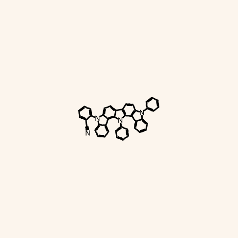 N#Cc1ccccc1-n1c2ccccc2c2c1ccc1c3ccc4c(c5ccccc5n4-c4ccccc4)c3n(-c3ccccc3)c12